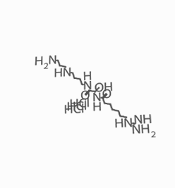 Cl.Cl.Cl.N=C(N)NCCCCCCC(=O)NC(O)C(=O)NCCCCNCCCN